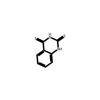 S=c1[nH]c(=S)c2ccccc2[nH]1